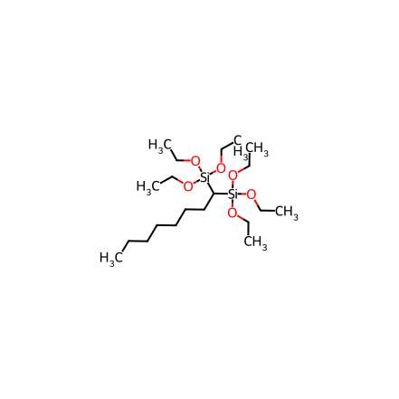 CCCCCCCC([Si](OCC)(OCC)OCC)[Si](OCC)(OCC)OCC